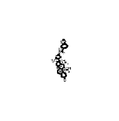 C[C@@H]1C[C@H]2[C@@H]3CCC4=CC(=O)C=C[C@]4(C)[C@@]3(F)[C@@H](O)C[C@]2(C)[C@@]1(O)c1csc(NC(=O)c2ccc3ncsc3c2)n1